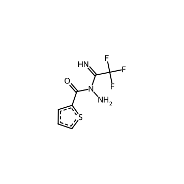 N=C(N(N)C(=O)c1cccs1)C(F)(F)F